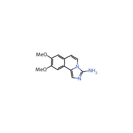 COc1cc2ccn3c(N)ncc3c2cc1OC